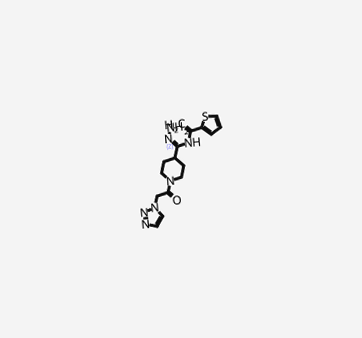 C=C(N/C(=N\N)C1CCN(C(=O)Cn2ccnn2)CC1)c1cccs1